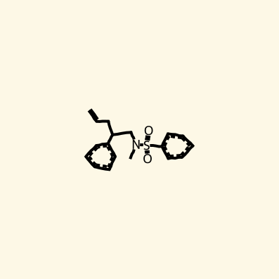 C=CCC(CN(C)S(=O)(=O)c1ccccc1)c1ccccc1